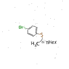 CCCCCC[C@H](C)Sc1ccc(Br)cc1